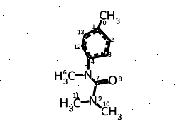 Cc1ccc(N(C)C(=O)N(C)C)cc1